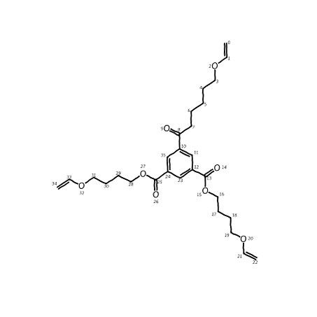 C=COCCCCCC(=O)c1cc(C(=O)OCCCCOC=C)cc(C(=O)OCCCCOC=C)c1